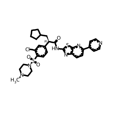 CN1CCN(S(=O)(=O)c2ccc([C@@H](CC3CCCC3)C(=O)Nc3nc4ccc(-c5ccncc5)nc4s3)cc2Cl)CC1